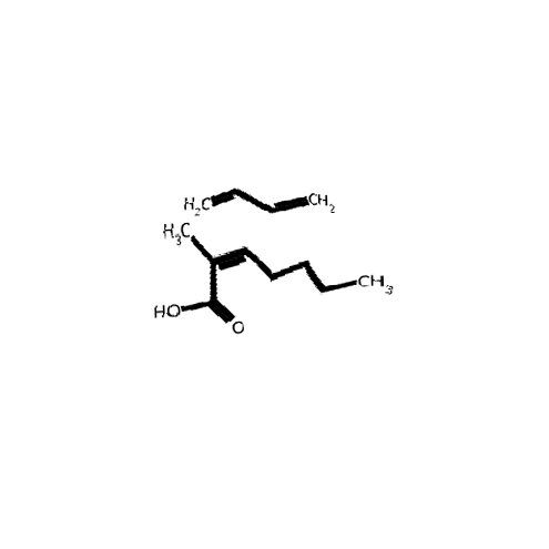 C=CC=C.CCCCC=C(C)C(=O)O